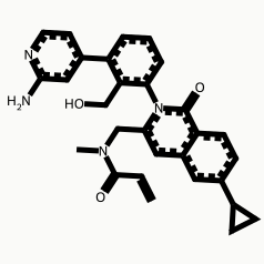 C=CC(=O)N(C)Cc1cc2cc(C3CC3)ccc2c(=O)n1-c1cccc(-c2ccnc(N)c2)c1CO